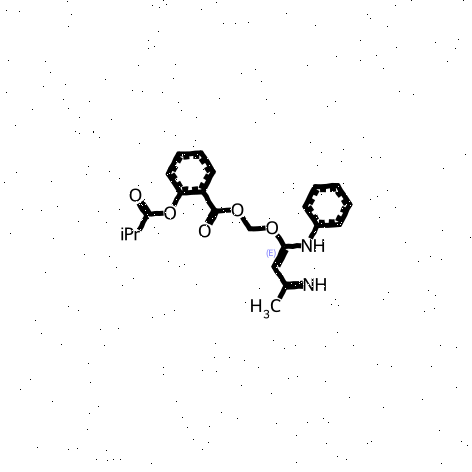 CC(=N)/C=C(\Nc1ccccc1)OCOC(=O)c1ccccc1OC(=O)C(C)C